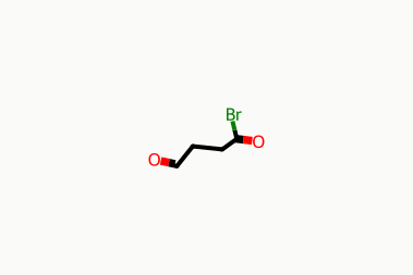 O=CCCC(=O)Br